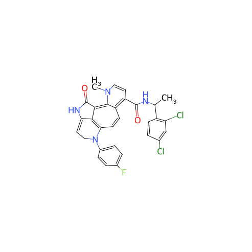 CC(NC(=O)C1=c2ccc3c4c([nH]c(=O)c-4c2N(C)C=C1)=CCN3c1ccc(F)cc1)c1ccc(Cl)cc1Cl